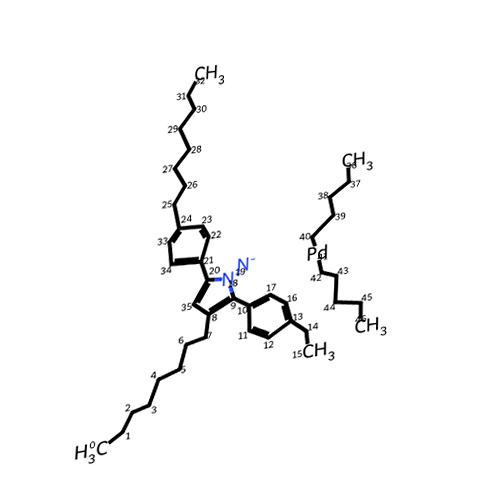 CCCCCCCCC1=C(c2ccc(CC)cc2)[N+](=[N-])C(c2ccc(CCCCCCCC)cc2)=C1.CCCC[CH2][Pd][CH2]CCCC